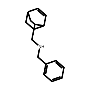 C1=CC2CCC1CC2CNCc1ccccc1